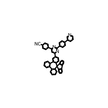 N#Cc1ccc(-c2cc(-c3ccc4c(c3)-c3ccccc3-c3ccccc3C43c4ccccc4-c4ccccc43)nc(-c3ccc(-c4cccnc4)cc3)n2)cc1